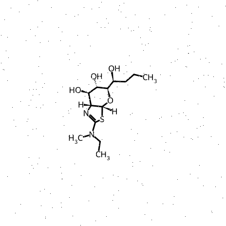 CCC[C@H](O)[C@H]1O[C@@H]2SC(N(C)CC)=N[C@@H]2[C@@H](O)[C@@H]1O